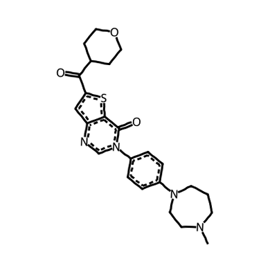 CN1CCCN(c2ccc(-n3cnc4cc(C(=O)C5CCOCC5)sc4c3=O)cc2)CC1